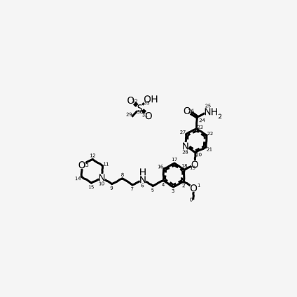 COc1cc(CNCCCN2CCOCC2)ccc1Oc1ccc(C(N)=O)cn1.CS(=O)(=O)O